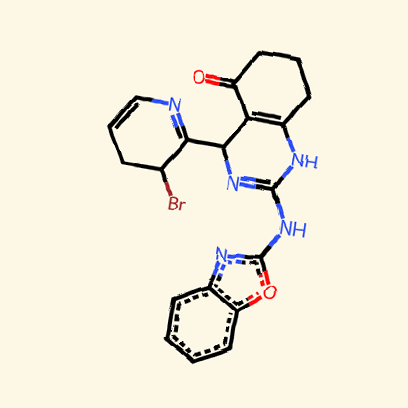 O=C1CCCC2=C1C(C1=NC=CCC1Br)N=C(Nc1nc3ccccc3o1)N2